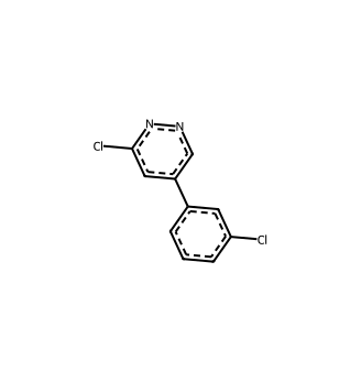 Clc1cccc(-c2cnnc(Cl)c2)c1